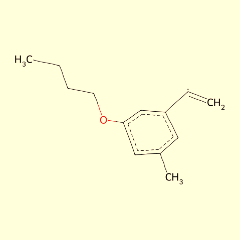 C=[C]c1cc(C)cc(OCCCC)c1